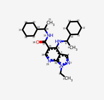 CCn1ncc2c(NC(C)C3CCCCC3)c(C(=O)NC(C)C3CCCCC3)cnc21